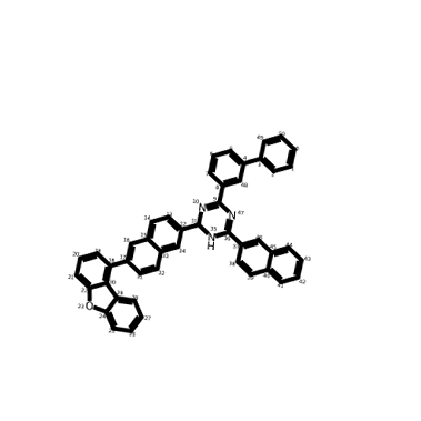 c1ccc(-c2cccc(C3=NC(c4ccc5cc(-c6cccc7oc8ccccc8c67)ccc5c4)NC(c4ccc5ccccc5c4)=N3)c2)cc1